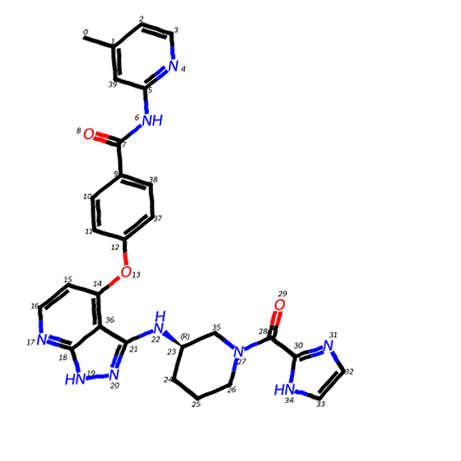 Cc1ccnc(NC(=O)c2ccc(Oc3ccnc4[nH]nc(N[C@@H]5CCCN(C(=O)c6ncc[nH]6)C5)c34)cc2)c1